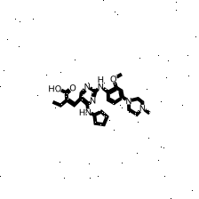 CCC(=Cc1cnc(Nc2ccc(N3CCN(C)CC3)cc2OC)nc1NC1CCCC1)C(=O)O